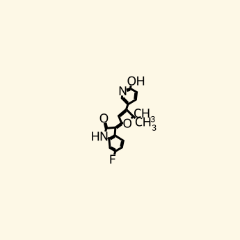 CC1(C)O/C(=C2/C(=O)Nc3cc(F)ccc32)C=C1c1ccc(O)nc1